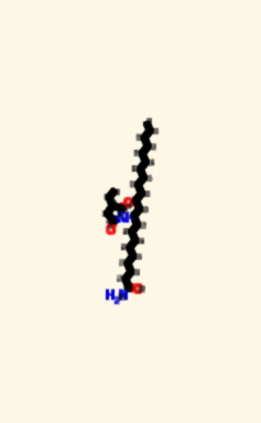 CCC1CC(=O)NC1=O.CCCCCCCCCCCCCCCCCCCCCC(N)=O